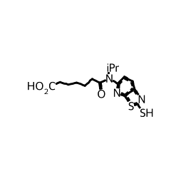 CC(C)N(C(=O)CCCCCC(=O)O)c1ccc2nc(S)sc2n1